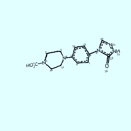 O=C(O)N1CCN(c2ccc(-n3cn[nH]c3=O)cc2)CC1